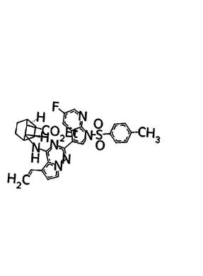 C=Cc1ccn2nc(-c3cn(S(=O)(=O)c4ccc(C)cc4)c4ncc(F)cc34)nc(N[C@@H]3C4CCC(CC4)[C@H]3C(=O)OCC)c12